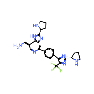 C=C(/N=C\C(=C/N)c1cnc([C@@H]2CCCN2)[nH]1)c1ccc(-c2[nH]c([C@@H]3CCCN3)nc2C(F)(F)F)cc1